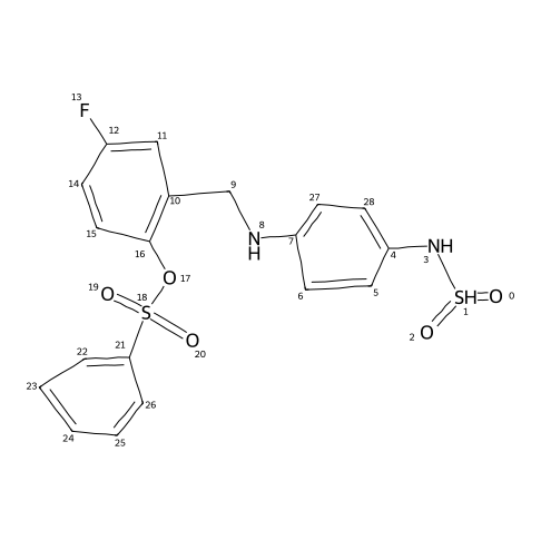 O=[SH](=O)Nc1ccc(NCc2cc(F)ccc2OS(=O)(=O)c2ccccc2)cc1